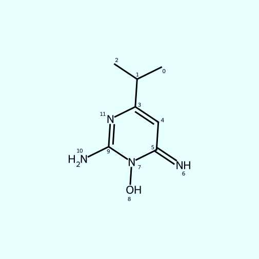 CC(C)c1cc(=N)n(O)c(N)n1